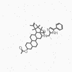 C=C(C)C1(C)C2C3CCC4C5CCC(OC(C)=O)CC5CCC4C3CCC2(C(=O)N[C@@H](C)c2ncc(-c3ccccc3)[nH]2)C(C)(C)C1(C)C